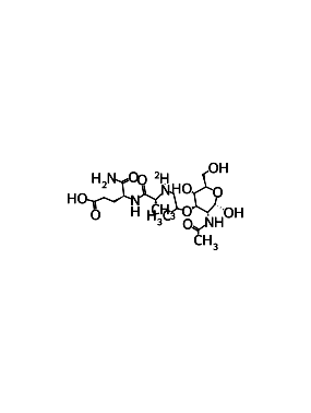 [2H]N(CC(C)O[C@H]1[C@H](O)[C@@H](CO)O[C@H](O)[C@@H]1NC(C)=O)[C@@H](C)C(=O)N[C@@H](CCC(=O)O)C(N)=O